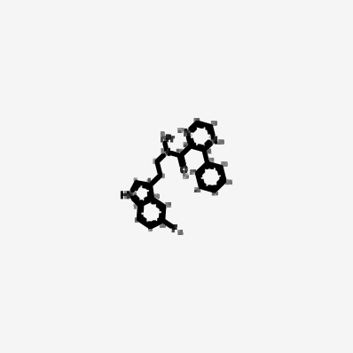 CCCN(CCc1c[nH]c2ccc(F)cc12)C(=O)c1nccnc1-c1ccccc1